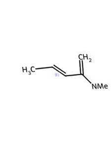 C=C(/C=C/C)NC